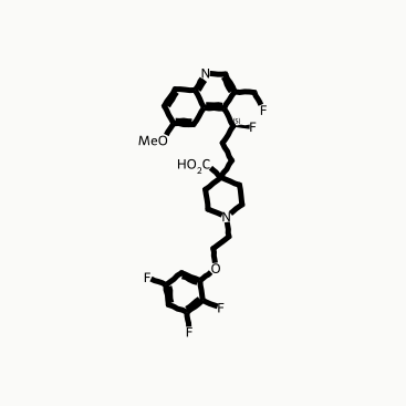 COc1ccc2ncc(CF)c([C@@H](F)CCC3(C(=O)O)CCN(CCOc4cc(F)cc(F)c4F)CC3)c2c1